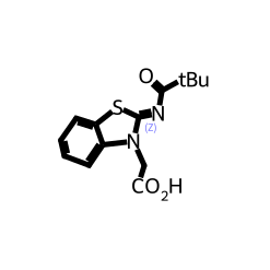 CC(C)(C)C(=O)/N=c1\sc2ccccc2n1CC(=O)O